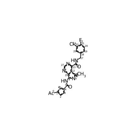 CC(=O)c1ccc(C(=O)Nc2nn(C)c3c(C(=O)NCc4ccc(F)c(Cl)c4)ncnc23)s1